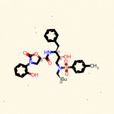 CC[C@H](C)CN(C[C@@H](O)[C@H](Cc1ccccc1)NC(=O)[C@@H]1CN(c2ccccc2O)C(=O)O1)S(=O)(=O)c1ccc(C)cc1